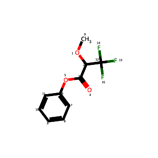 COC(C(=O)Oc1ccccc1)C(F)(F)F